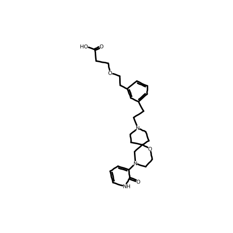 O=C(O)CCOCCc1cccc(CCN2CCC3(CC2)CN(c2ccc[nH]c2=O)CCO3)c1